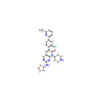 Cc1cccc(-c2ccc(-c3cc4cnc(N[C@H]5CCOC5)nc4n(C4CCNCC4)c3=O)c(Cl)c2)n1